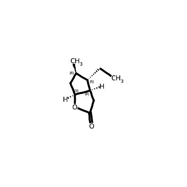 CC[C@@H]1[C@H]2CC(=O)O[C@H]2C[C@H]1C